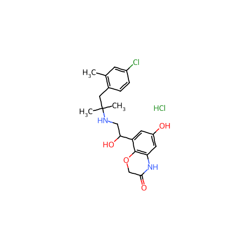 Cc1cc(Cl)ccc1CC(C)(C)NCC(O)c1cc(O)cc2c1OCC(=O)N2.Cl